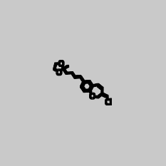 CC1(CC/C=C/c2ccc3c(c2)C=C/C(=C/Cl)CO3)OCCO1